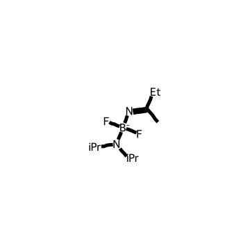 CC/C(C)=N/[B-](F)(F)N(C(C)C)C(C)C